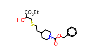 CCOC(=O)C(O)CSCCC1CCN(C(=O)OCc2ccccc2)CC1